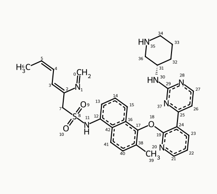 C=N/C(=C\C=C/C)CS(=O)(=O)Nc1cccc2c(Oc3ncccc3-c3ccnc(N[C@H]4CCCNC4)n3)c(C)ccc12